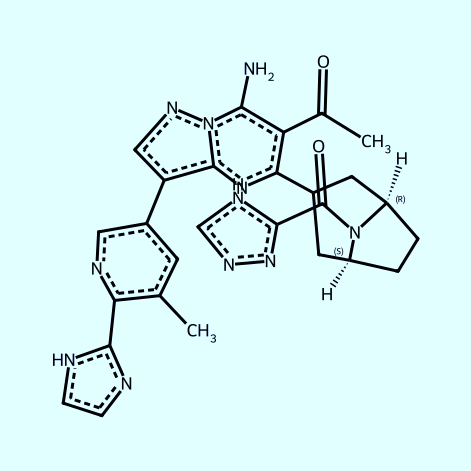 CC(=O)c1c(C2C[C@H]3CC[C@@H](C2)N3C(=O)c2nnc[nH]2)nc2c(-c3cnc(-c4ncc[nH]4)c(C)c3)cnn2c1N